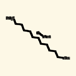 CCCCCCCCCCCCCCCCCCCCCC(=O)OCC.CCCCCCl